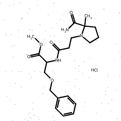 COC(=O)C(COCc1ccccc1)NC(=O)CCN1CCCC1(C)C(N)=O.Cl